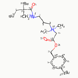 CC(C)(C)CC(C)(C(=O)NCCC[N+](C)(C)CC(=O)OCc1ccc(C(C)(C)C)cc1)C(C)(C)C